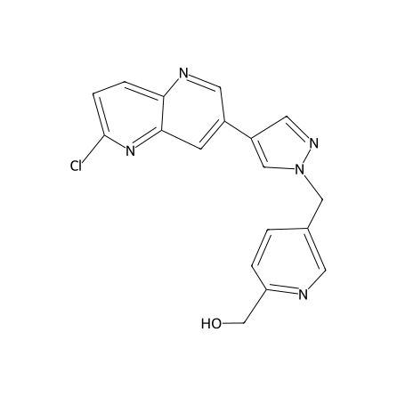 OCc1ccc(Cn2cc(-c3cnc4ccc(Cl)nc4c3)cn2)cn1